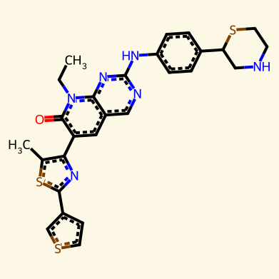 CCn1c(=O)c(-c2nc(-c3ccsc3)sc2C)cc2cnc(Nc3ccc(C4CNCCS4)cc3)nc21